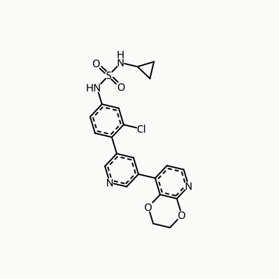 O=S(=O)(Nc1ccc(-c2cncc(-c3ccnc4c3OCCO4)c2)c(Cl)c1)NC1CC1